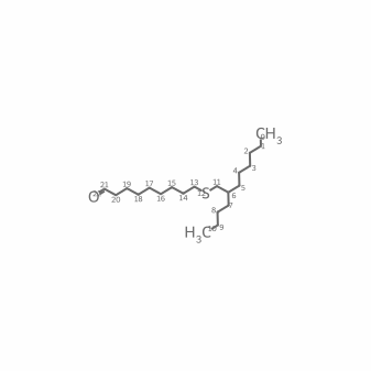 CCCCCCC(CCCC)CSCCCCCCCCC=O